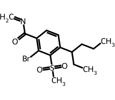 C=NC(=O)c1ccc(C(CC)CCC)c(S(C)(=O)=O)c1Br